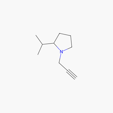 C#CCN1CCCC1C(C)C